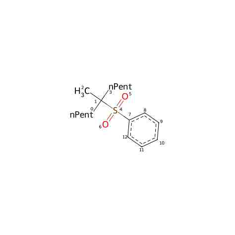 CCCCCC(C)(CCCCC)S(=O)(=O)c1ccccc1